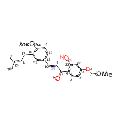 COCOc1ccc(C(=O)/C=C/c2ccc(OC)c(CC=C(C)C)c2)c(O)c1